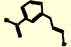 O=[N+]([O-])c1cccc(C/C=C/Br)c1